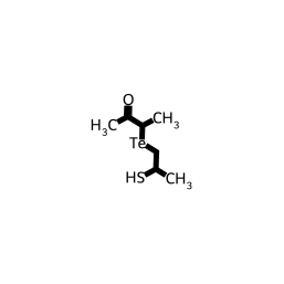 CC(=O)C(C)[Te]CC(C)S